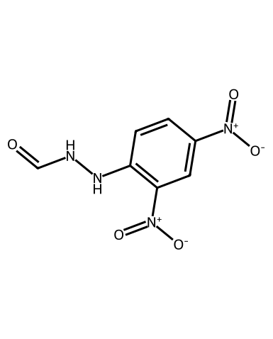 O=CNNc1ccc([N+](=O)[O-])cc1[N+](=O)[O-]